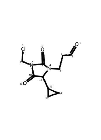 O=CCCN1C(=O)N(CCl)C(=O)C1C1CC1